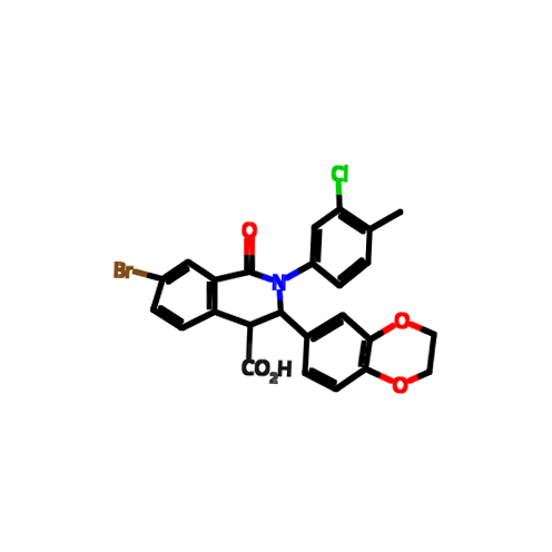 Cc1ccc(N2C(=O)c3cc(Br)ccc3C(C(=O)O)C2c2ccc3c(c2)OCCO3)cc1Cl